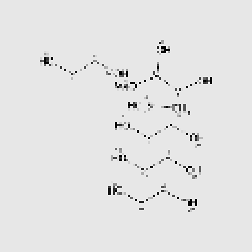 COC(O)CO.CS(=O)(=O)O.OCCO.OCCO.OCCO.OCCO